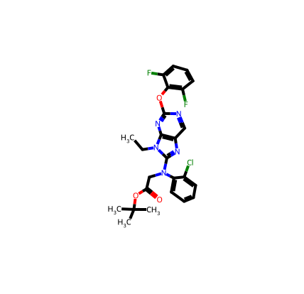 CCn1c(N(CC(=O)OC(C)(C)C)c2ccccc2Cl)nc2cnc(Oc3c(F)cccc3F)nc21